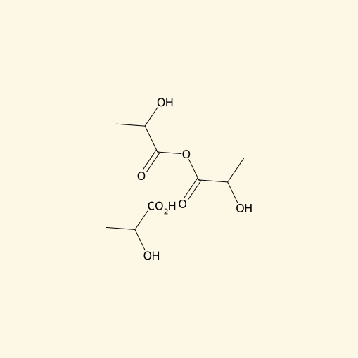 CC(O)C(=O)O.CC(O)C(=O)OC(=O)C(C)O